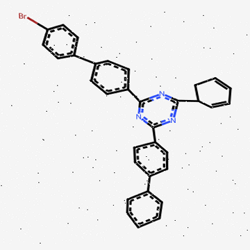 Brc1ccc(-c2ccc(-c3nc(-c4ccc(-c5ccccc5)cc4)nc(C4C=CC=CC4)n3)cc2)cc1